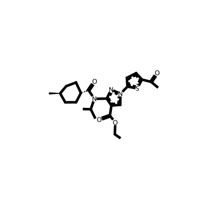 CCOC(=O)c1cn(-c2ccc(C(C)=O)s2)nc1N(C(=O)[C@H]1CC[C@H](C)CC1)C(C)C